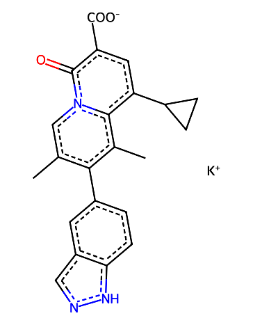 Cc1cn2c(=O)c(C(=O)[O-])cc(C3CC3)c2c(C)c1-c1ccc2[nH]ncc2c1.[K+]